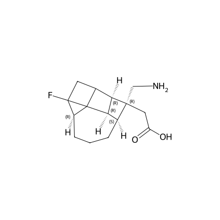 NC[C@@]1(CC(=O)O)[C@@H]2C3CC4(F)[C@@H]5CCC[C@H]1[C@H]2C354